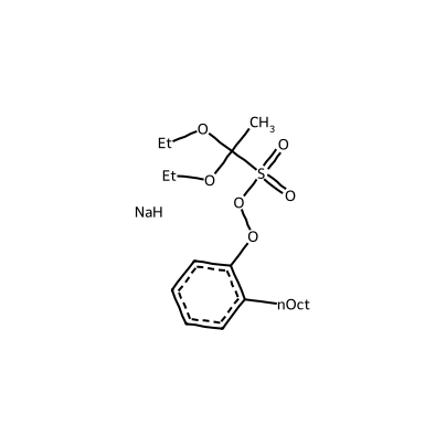 CCCCCCCCc1ccccc1OOS(=O)(=O)C(C)(OCC)OCC.[NaH]